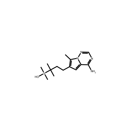 Cc1c(CCC(C)(C)[Si](C)(C)O)cc2c(N)ncnn12